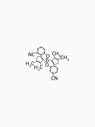 CC1=C(C)[C]([Zr]([O]c2cccc(C#N)c2)([O]c2cccc(C#N)c2)[C]2=CCC(C)=C2C)=CC1